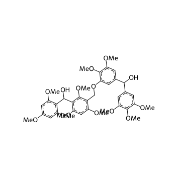 COc1cc(OC)c(C(O)c2c(OC)cc(OC)c(COc3cc(C(O)c4cc(OC)c(OC)c(OC)c4)cc(OC)c3OC)c2OC)c(OC)c1